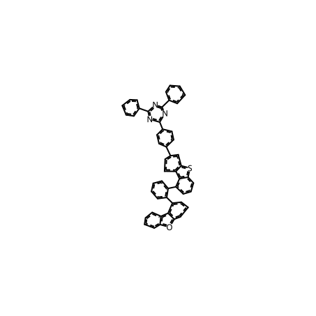 c1ccc(-c2nc(-c3ccccc3)nc(-c3ccc(-c4ccc5c(c4)sc4cccc(-c6ccccc6-c6cccc7oc8ccccc8c67)c45)cc3)n2)cc1